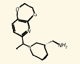 CC(c1ccc2c(n1)OCCO2)N1CCC[C@@H](CN)C1